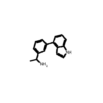 CC(N)c1cccc(-c2cccc3[nH]ccc23)c1